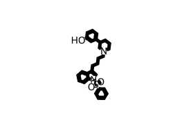 O=S(=O)(c1ccccc1)n1cc(CCCCN2CCCC(c3cccc(O)c3)C2)c2ccccc21